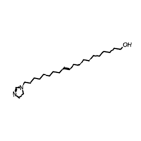 OCCCCCCCCCCC=CCCCCCCCCN1C=NCC1